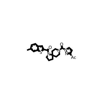 CC(=O)c1ccn(C(=O)N2CCC3(CCCN3C(=O)c3cc4ccc(C)cc4s3)CC2)n1